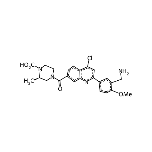 COc1ccc(-c2cc(Cl)c3ccc(C(=O)N4CCN(C(=O)O)[C@H](C)C4)cc3n2)cc1CN